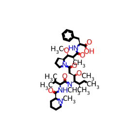 CC[C@H](C)[C@@H]([C@@H](CC(=O)N1CCC[C@H]1[C@H](OC)[C@@H](C)C(=O)N[C@@H](Cc1ccccc1)C(=O)O)OC)N(C)C(=O)[C@@H](NC(=O)[C@@H]1CCCCN1C)C(C)C